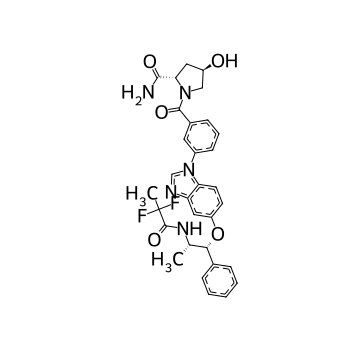 C[C@H](NC(=O)C(C)(F)F)[C@H](Oc1ccc2c(c1)ncn2-c1cccc(C(=O)N2C[C@H](O)C[C@H]2C(N)=O)c1)c1ccccc1